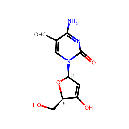 Nc1nc(=O)n([C@H]2C=C(O)[C@@H](CO)O2)cc1C=O